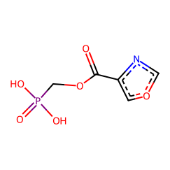 O=C(OCP(=O)(O)O)c1cocn1